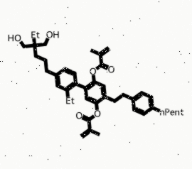 C=C(C)C(=O)Oc1cc(-c2ccc(CCCC(CC)(CO)CO)cc2CC)c(OC(=O)C(=C)C)cc1CCc1ccc(CCCCC)cc1